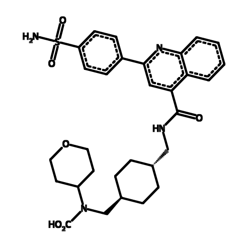 NS(=O)(=O)c1ccc(-c2cc(C(=O)NC[C@H]3CC[C@H](CN(C(=O)O)C4CCOCC4)CC3)c3ccccc3n2)cc1